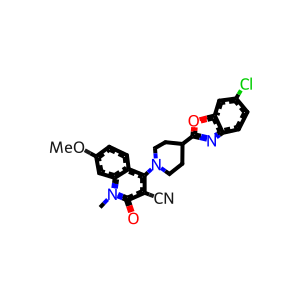 COc1ccc2c(N3CCC(c4nc5ccc(Cl)cc5o4)CC3)c(C#N)c(=O)n(C)c2c1